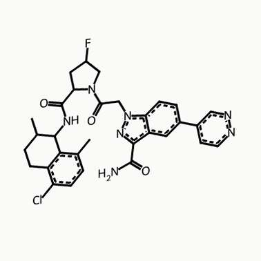 Cc1ccc(Cl)c2c1C(NC(=O)C1CC(F)CN1C(=O)Cn1nc(C(N)=O)c3cc(-c4ccnnc4)ccc31)C(C)CC2